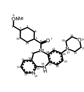 COCC1CCC(C(=O)N2Cc3cccnc3Nc3ccc(N4CCOCC4)cc32)CC1